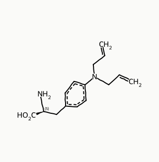 C=CCN(CC=C)c1ccc(C[C@H](N)C(=O)O)cc1